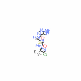 C[C@H](NC(=O)c1ncnc2[nH]ncc12)c1ncc(C(=O)Nc2cc(C(F)(F)F)c(Cl)cn2)s1